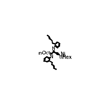 C/C=C/CCc1ccccc1/N=C(C#CCCCCCC)/C(CCCCCCCC)=N/c1ccccc1CC/C=C/C.[Ni]